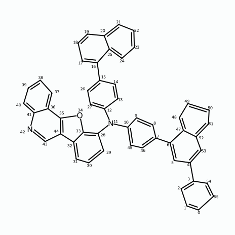 c1ccc(-c2cc(-c3ccc(N(c4ccc(-c5cccc6ccccc56)cc4)c4cccc5c4oc4c6ccccc6ncc54)cc3)c3ccccc3c2)cc1